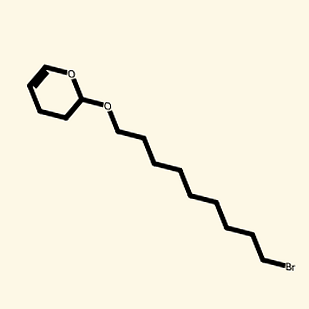 BrCCCCCCCCCOC1CCC=CO1